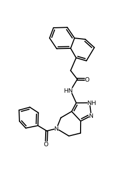 O=C(Cc1cccc2ccccc12)Nc1[nH]nc2c1CN(C(=O)c1ccccc1)CC2